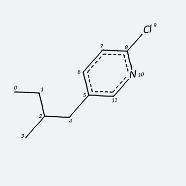 CCC(C)Cc1ccc(Cl)nc1